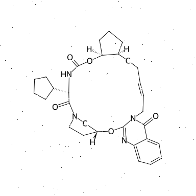 O=C1N[C@@H](C2CCCC2)C(=O)N2CC[C@H](C2)Oc2nc3ccccc3c(=O)n2C/C=C/CC[C@@H]2CCC[C@@H]2O1